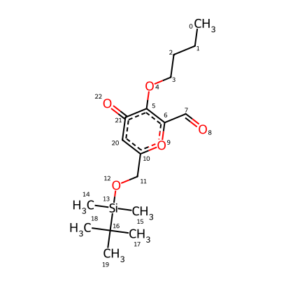 CCCCOc1c(C=O)oc(CO[Si](C)(C)C(C)(C)C)cc1=O